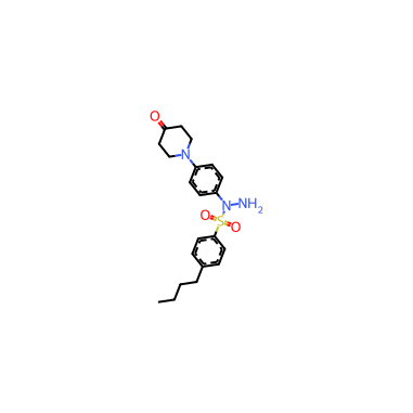 CCCCc1ccc(S(=O)(=O)N(N)c2ccc(N3CCC(=O)CC3)cc2)cc1